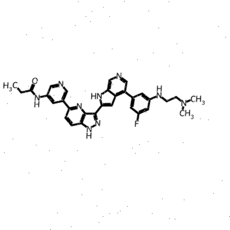 CCC(=O)Nc1cncc(-c2ccc3[nH]nc(-c4cc5c(-c6cc(F)cc(NCCN(C)C)c6)cncc5[nH]4)c3n2)c1